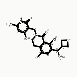 COc1cc(C)[nH]c(=O)c1CN1CCc2c(Cl)cc([C@H](OC)C3CSC3)c(Cl)c2C1=O